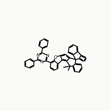 CC1(C)c2ccccc2C2(c3ccccc3-c3ccccc32)c2ccc3oc4c(-c5nc(-c6ccccc6)nc(-c6ccccc6)n5)cccc4c3c21